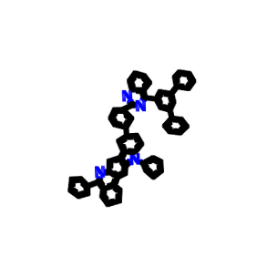 c1ccc(-c2cc(-c3ccccc3)cc(-c3nc(-c4cccc(-c5ccc6c(c5)c5cc7nc(-c8ccccc8)c8ccccc8c7cc5n6-c5ccccc5)c4)nc4ccccc34)c2)cc1